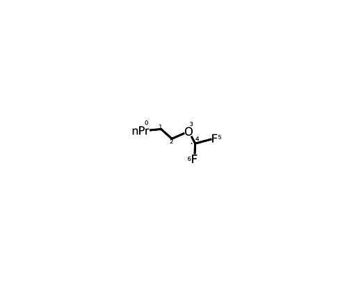 CCCCCO[C](F)F